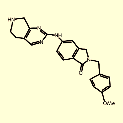 COc1ccc(CN2Cc3cc(Nc4ncc5c(n4)CNCC5)ccc3C2=O)cc1